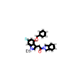 CCn1cc(CC(=O)N2Cc3ccccc3C2)c2c(OCc3ccccc3)cc(F)cc21